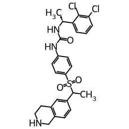 CC(c1ccc2c(c1)CCNC2)S(=O)(=O)c1ccc(NC(=O)N[C@@H](C)c2cccc(Cl)c2Cl)cc1